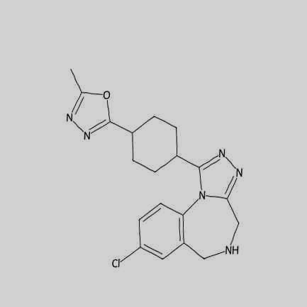 Cc1nnc(C2CCC(c3nnc4n3-c3ccc(Cl)cc3CNC4)CC2)o1